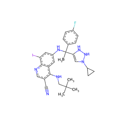 BC(Nc1cc(I)c2ncc(C#N)c(NCC(C)(C)C)c2c1)(C1=CN(C2CC2)NN1)c1ccc(F)cc1